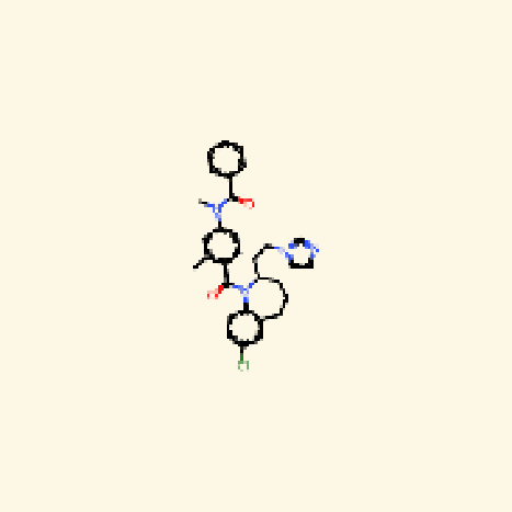 Cc1cc(N(C)C(=O)c2ccccc2)ccc1C(=O)N1c2ccc(Cl)cc2CCCC1CCn1ccnc1